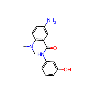 CN(C)c1ccc(N)cc1C(=O)Nc1cccc(O)c1